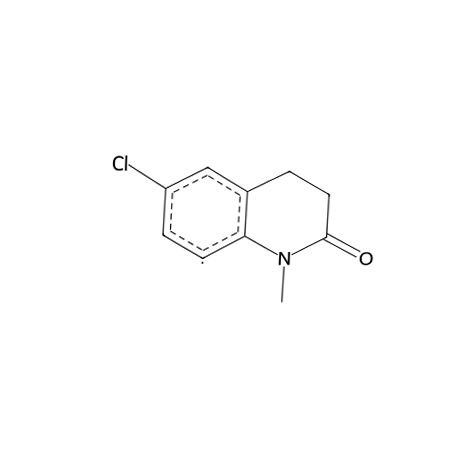 CN1C(=O)CCc2cc(Cl)c[c]c21